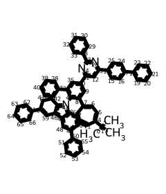 CC(C)(C)C1=CC=C(c2cc(-c3cc(-c4ccc(-c5ccccc5)cc4)nc(-c4ccccc4)n3)cc(-c3ccccc3)c2-n2c3c(c4cc(-c5ccccc5)ccc42)C=C(c2ccccc2)CC3)CC#C1